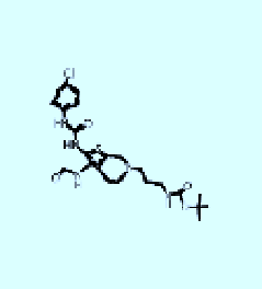 CC(C)(C)OC(=O)NCCCN1CCc2c(sc(NC(=O)Nc3ccc(Cl)cc3)c2NC=O)C1